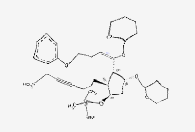 CC(C)(C)[Si](C)(C)O[C@@H]1C[C@@H](OC2CCCCO2)[C@@H](/C(=C\CCOc2ccccc2)OC2CCCCO2)[C@@H]1CCC#CCS(=O)(=O)O